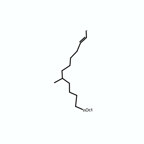 [CH2]/C=C/CCCCC(C)CCCCCCCCCCC[CH2]